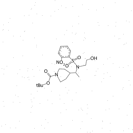 CC(C1CCN(C(=O)OC(C)(C)C)CC1)N(CCO)S(=O)(=O)c1ccccc1[N+](=O)[O-]